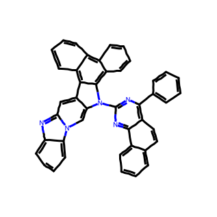 c1ccc(-c2nc(-n3c4cn5c(cc4c4c6ccccc6c6ccccc6c43)nc3ccccc35)nc3c2ccc2ccccc23)cc1